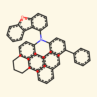 c1ccc(-c2ccc(N(c3ccccc3-c3cccc4cccc(C5CCCCC5)c34)c3cccc4oc5ccccc5c34)c(-c3ccccc3)c2)cc1